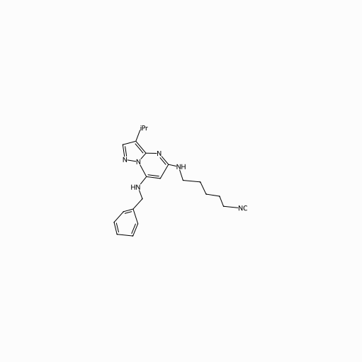 [C-]#[N+]CCCCCNc1cc(NCc2ccccc2)n2ncc(C(C)C)c2n1